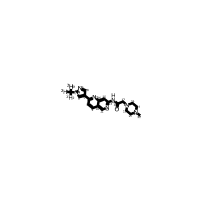 [2H]C([2H])([2H])n1cc(-c2ccc3cnc(NC(=O)CN4CCN(C)CC4)cc3n2)cn1